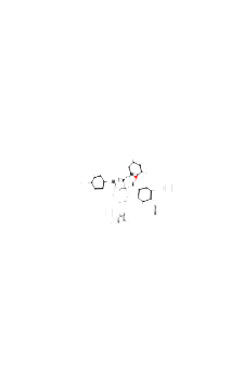 O=C(c1cc(O)c(O)c(O)c1)N1CCCCC1(C(=O)c1cc(O)c(O)c(O)c1)C(=O)c1cc(O)c(O)c(O)c1.O=P(O)(O)O